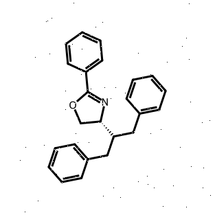 c1ccc(C[C](Cc2ccccc2)[C@@H]2COC(c3ccccc3)=N2)cc1